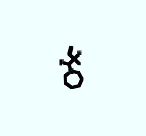 C=CC(C)(F)C(F)N1CCCCCC1